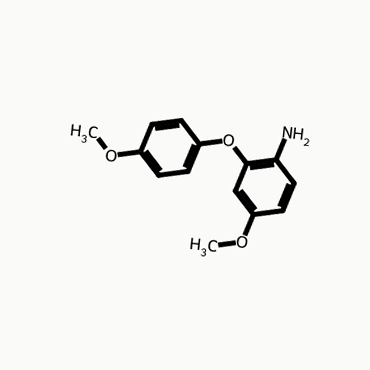 COc1ccc(Oc2cc(OC)ccc2N)cc1